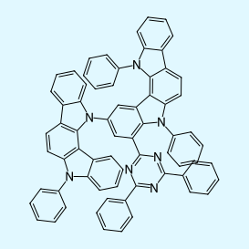 c1ccc(-c2nc(-c3ccccc3)nc(-c3cc(-n4c5ccccc5c5ccc6c(c7ccccc7n6-c6ccccc6)c54)cc4c5c(ccc6c7ccccc7n(-c7ccccc7)c65)n(-c5ccccc5)c34)n2)cc1